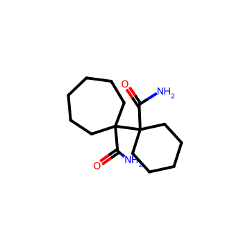 NC(=O)C1(C2(C(N)=O)CCCCC2)CCCCCC1